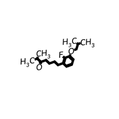 CC(C)COc1cccc(CCCCC(=O)C(C)C)c1F